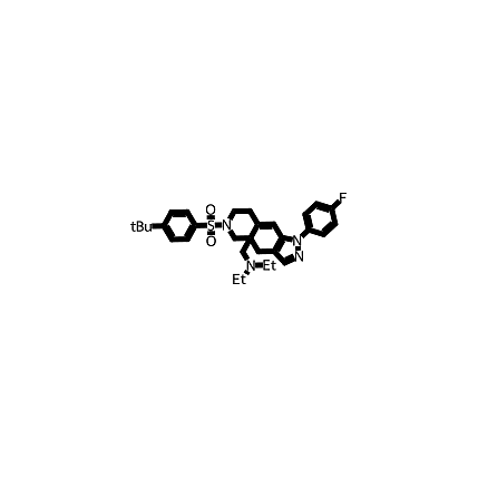 CCN(CC)CC12Cc3cnn(-c4ccc(F)cc4)c3C=C1CCN(S(=O)(=O)c1ccc(C(C)(C)C)cc1)C2